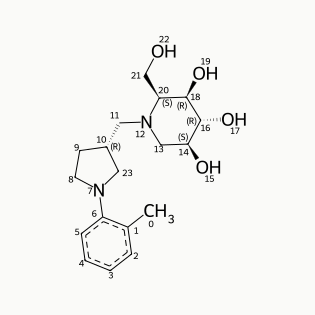 Cc1ccccc1N1CC[C@H](CN2C[C@H](O)[C@@H](O)[C@H](O)[C@@H]2CO)C1